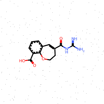 N=C(N)NC(=O)C1=Cc2cccc(C(=O)O)c2OCC1